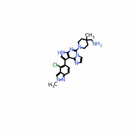 Cn1cc2c(Cl)c(-c3c[nH]c4nc(N5CCC(C)(CN)CC5)n5ccnc5c34)ccc2n1